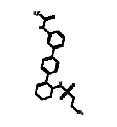 CCCS(=O)(=O)NC1CCCC=C1c1ccc(-c2cccc(NC(C)=O)c2)cc1